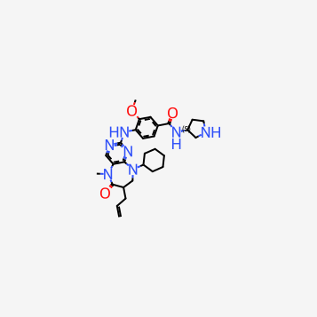 C=CCC1CN(C2CCCCC2)c2nc(Nc3ccc(C(=O)N[C@H]4CCNC4)cc3OC)ncc2N(C)C1=O